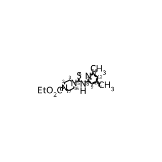 CCOC(=O)N1CCN(C(=S)Nc2cc(C)cc(C)n2)CC1